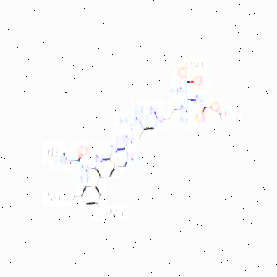 COc1cc(OC)cc(-c2cc3cnc(NC/C(N)=C/N(N)CCN/C(=N\C(=O)OC(C)(C)C)NC(=O)OC(C)(C)C)nc3nc2NC(=O)NC(C)(C)C)c1